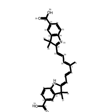 CC(C=CC=C1Nc2ccc(C(=O)O)cc2C1(C)C)=CC=CC1=Nc2ccc(C(=O)O)cc2C1(C)C